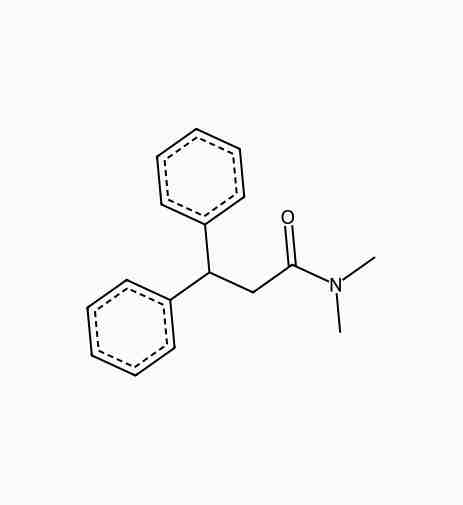 CN(C)C(=O)CC(c1ccccc1)c1ccccc1